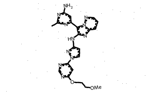 COCCOc1cc(-n2ccc(Nc3nc4cccnn4c3-c3cc(N)nc(C)n3)n2)ncn1